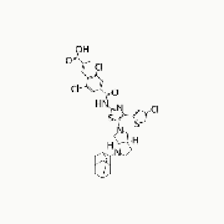 C/C(=C\c1c(Cl)cc(C(=O)Nc2nc(-c3cc(Cl)cs3)c(N3C[C@H]4CCN(C5C6CC7CC(C6)CC5C7)[C@H]4C3)s2)cc1Cl)C(=O)O